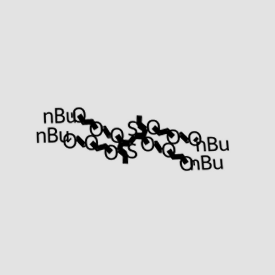 CCCCOCCOCCOc1c(C)sc(-c2sc(C)c(OCCOCCOCCCC)c2OCCOCCOCCCC)c1OCCOCCOCCCC